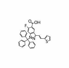 O=C(O)c1cc2c(/C=C/c3cccs3)nn(C(c3ccccc3)(c3ccccc3)c3ccccc3)c2cc1F